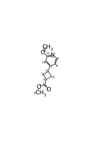 COC(=O)C1CC(c2ccnc(OC)c2)C1